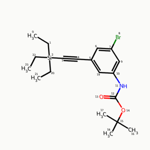 CC[Si](C#Cc1cc(Br)cc(NC(=O)OC(C)(C)C)c1)(CC)CC